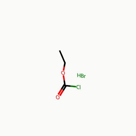 Br.CCOC(=O)Cl